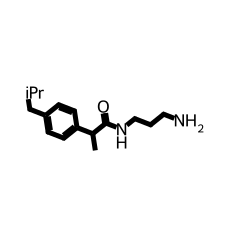 CC(C)Cc1ccc(C(C)C(=O)NCCCN)cc1